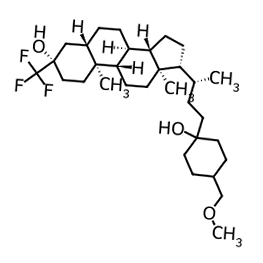 COCC1CCC(O)(CC[C@@H](C)[C@H]2CC[C@H]3[C@@H]4CC[C@H]5C[C@](O)(C(F)(F)F)CC[C@]5(C)[C@H]4CC[C@]23C)CC1